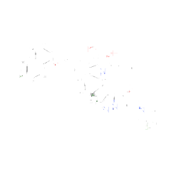 CCc1c2c(nn1C)C(CCN1CC(F)(F)C1)OCCCCn1c(C(O)O)c(CCCOc3cccc4cc(F)ccc34)c3ccc(Cl)c-2c31